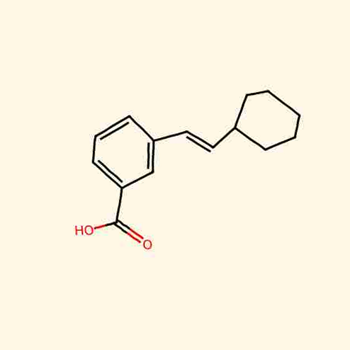 O=C(O)c1cccc(C=CC2CCCCC2)c1